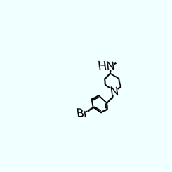 CNC1CCN(Cc2ccc(Br)cc2)CC1